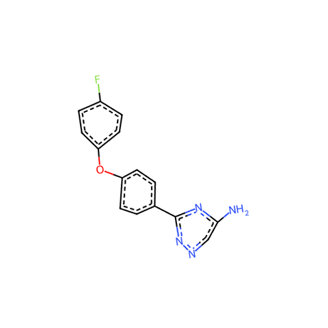 Nc1cnnc(-c2ccc(Oc3ccc(F)cc3)cc2)n1